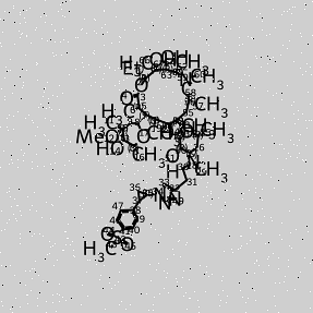 CC[C@H]1OC(=O)[C@H](C)[C@@H](C2C[C@@](C)(OC)[C@@H](O)[C@H](C)O2)[C@H](C)[C@@H](O[C@@H]2O[C@H](C)C[C@H](N(C)CCc3cn([C@@H]4CC4c4ccc(S(C)(=O)=O)cc4)nn3)[C@H]2O)[C@](C)(O)C[C@@H](C)CN(C)[C@H](C)[C@@H](O)[C@]1(C)O